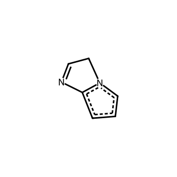 C1=Nc2cccn2C1